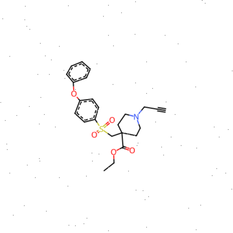 C#CCN1CCC(CS(=O)(=O)c2ccc(Oc3ccccc3)cc2)(C(=O)OCC)CC1